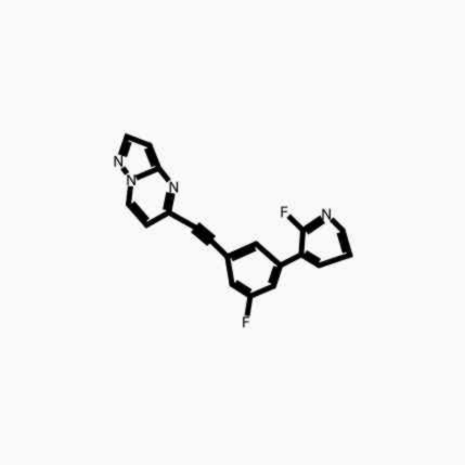 Fc1cc(C#Cc2ccn3nccc3n2)cc(-c2cccnc2F)c1